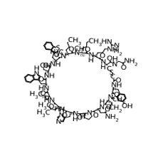 C=C[C@H]1C(=O)N[C@@H](CC(N)=O)C(=O)N2CCC[C@H]2C(=O)N[C@@H](Cc2cnc[nH]2)C(=O)N[C@@H](CC(C)C)C(=O)NC2(C[C@@H]2C)C(=O)N[C@@H](Cc2c[nH]c3ccccc23)C(=O)N[C@@H](CO)C(=O)N[C@@H](Cc2csc3ccccc23)C(=O)N(C)[C@@H](CCCC)C(=O)N(C)[C@@H](CCCC)C(=O)N[C@@H](CCCNC(=N)N)C(=O)NC(C(=O)NCC(N)=O)CSCC(=O)N[C@@H](Cc2ccc(O)cc2)C(=O)N1C